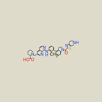 Cc1c(Nc2nccc3cc(CN4CCCCC4C(=O)O)cnc23)cccc1-c1cccc2c1CCN2C(=O)c1nc2c(s1)CNCC2